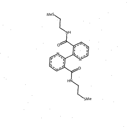 CSCCNC(=O)c1cccnc1-c1ncccc1C(=O)NCCSC